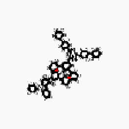 c1ccc(-c2ccc(-c3nc(-c4ccc(-c5ccccc5)cc4)nc(-c4cc(-c5ccccc5)c(-n5c6ccccc6c6c7sc8c(ccc9c8c8ccccc8n9-c8ccccc8)c7ccc65)c(-c5ccccc5)c4)n3)cc2)cc1